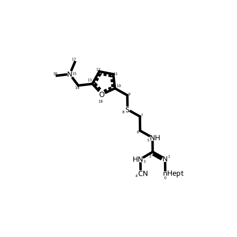 CCCCCCC/N=C(\NC#N)NCCSCc1ccc(CN(C)C)o1